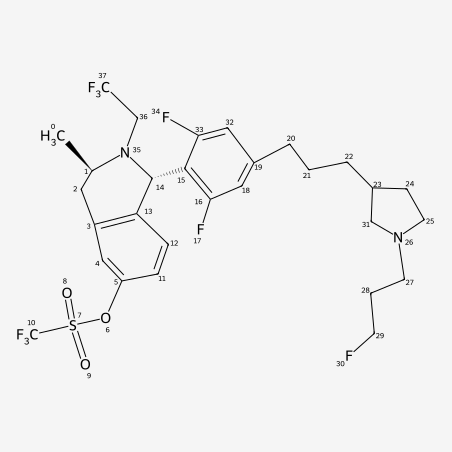 C[C@@H]1Cc2cc(OS(=O)(=O)C(F)(F)F)ccc2[C@@H](c2c(F)cc(CCCC3CCN(CCCF)C3)cc2F)N1CC(F)(F)F